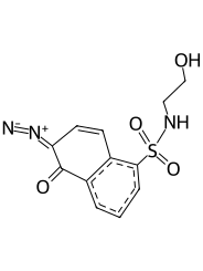 [N-]=[N+]=C1C=Cc2c(cccc2S(=O)(=O)NCCO)C1=O